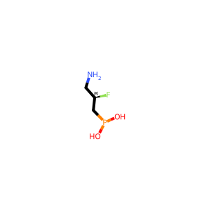 NC[C@@H](F)CP(O)O